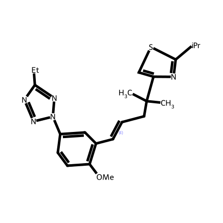 CCc1nnn(-c2ccc(OC)c(/C=C/CC(C)(C)c3csc(C(C)C)n3)c2)n1